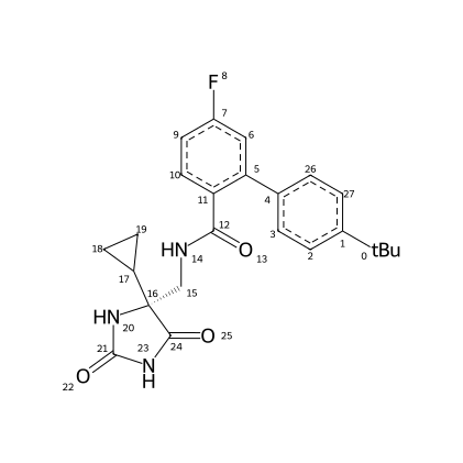 CC(C)(C)c1ccc(-c2cc(F)ccc2C(=O)NC[C@@]2(C3CC3)NC(=O)NC2=O)cc1